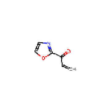 [CH]=CC(=O)c1ncco1